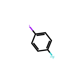 [18F]c1ccc(I)cc1